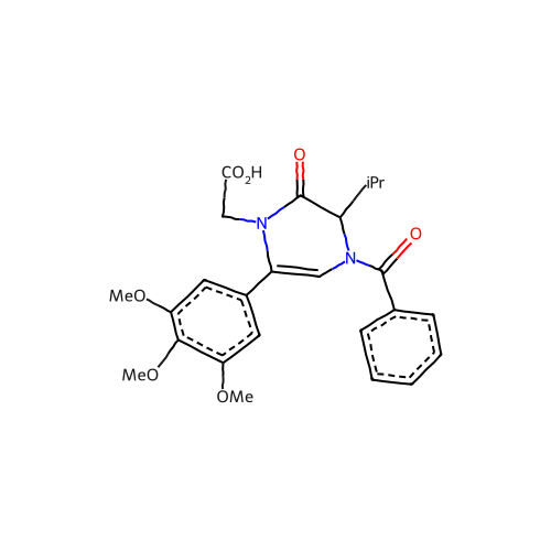 COc1cc(C2=CN(C(=O)c3ccccc3)C(C(C)C)C(=O)N2CC(=O)O)cc(OC)c1OC